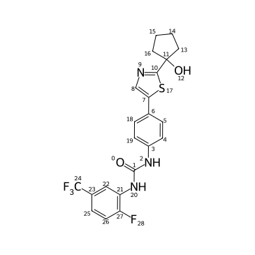 O=C(Nc1ccc(-c2cnc(C3(O)CCCC3)s2)cc1)Nc1cc(C(F)(F)F)ccc1F